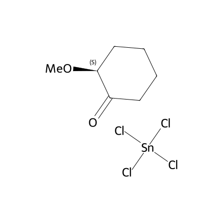 CO[C@H]1CCCCC1=O.[Cl][Sn]([Cl])([Cl])[Cl]